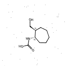 O=C(O)N[C@H]1CCCCC[C@@H]1CO